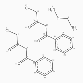 NCCN.O=C(CCl)CC(=O)c1ccccc1.O=C(CCl)CC(=O)c1ccccc1